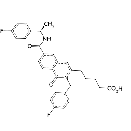 C[C@@H](NC(=O)c1ccc2c(=O)n(Cc3ccc(F)cc3)c(CCCCC(=O)O)cc2c1)c1ccc(F)cc1